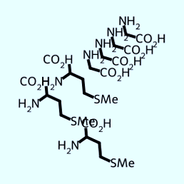 CSCCC(N)C(=O)O.CSCCC(N)C(=O)O.CSCCC(N)C(=O)O.NCC(=O)O.NCC(=O)O.NCC(=O)O.NCC(=O)O